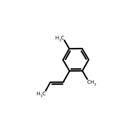 C/C=[C]/c1cc(C)ccc1C